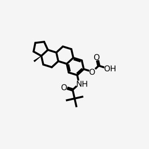 CC(C)(C)C(=O)Nc1cc2c(cc1OC(=O)O)CCC1C2CC[C@]2(C)CCCC12